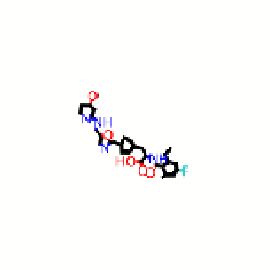 CCc1cc(F)cc(C)c1C(=O)NC(Cc1ccc(-c2ncc(CNc3cc(OC)ccn3)o2)cc1)C(=O)O